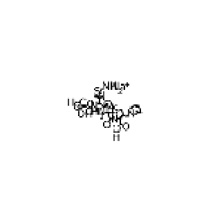 CC(C)(ON=C(C(=O)N[C@@H]1C(=O)N2C(C(=O)O)=C(C[n+]3ccccc3)CS[C@H]12)c1csc(N)n1)C(=O)O.[Na+]